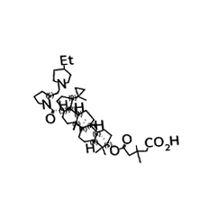 CCC1CCN(C[C@@H]2CCCN2C(=O)[C@]23CC[C@@H](C4(C)CC4)[C@@H]2[C@H]2CC[C@@H]4[C@@]5(C)CC[C@H](OC(=O)CC(C)(C)CC(=O)O)C(C)(C)[C@@H]5CC[C@@]4(C)[C@]2(C)CC3)CC1